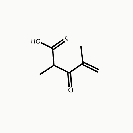 C=C(C)C(=O)C(C)C(O)=S